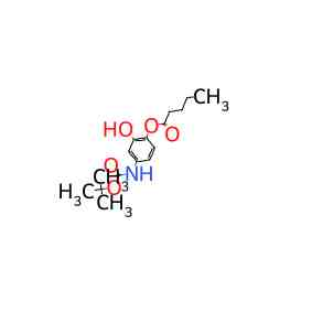 CCCCC(=O)Oc1ccc(NC(=O)OC(C)(C)C)cc1O